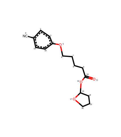 N#Cc1ccc(OCCCCC(=O)OC2CCCO2)cc1